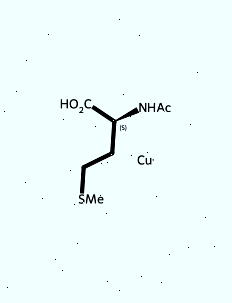 CSCC[C@H](NC(C)=O)C(=O)O.[Cu]